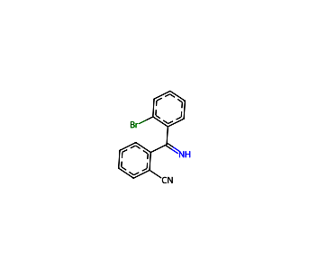 N#Cc1ccccc1C(=N)c1ccccc1Br